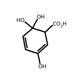 O=C(O)C1C=C(O)C=CC1(O)O